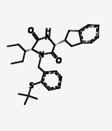 CCC(CC)[C@@H]1C(=O)N[C@H](C2Cc3ccccc3C2)C(=O)N1Cc1ccccc1SC(C)(C)C